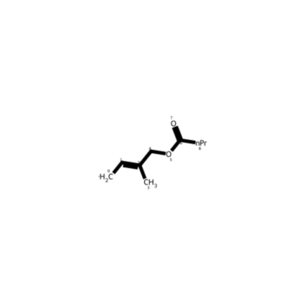 [CH2]/C=C(\C)COC(=O)CCC